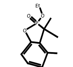 CCOP1(=O)Oc2cccc(C)c2C1(C)C